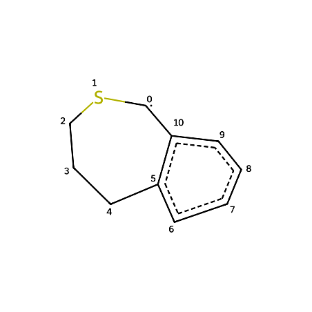 [CH]1SCCCc2ccccc21